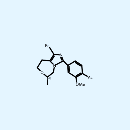 COc1cc(-c2nc(Br)c3n2C[C@@H](C)OCC3)ccc1C(C)=O